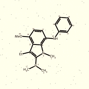 CCc1c(N(C)C)n(C)c2c(Nc3ccccc3)ccc(OC)c12